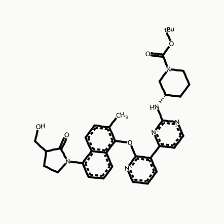 Cc1ccc2c(N3CCC(CO)C3=O)cccc2c1Oc1ncccc1-c1ccnc(N[C@H]2CCCN(C(=O)OC(C)(C)C)C2)n1